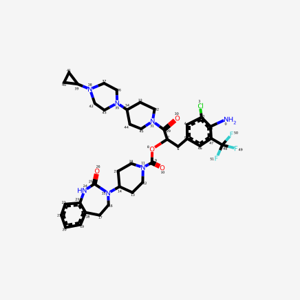 Nc1c(Cl)cc(CC(OC(=O)N2CCC(N3CCc4ccccc4NC3=O)CC2)C(=O)N2CCC(N3CCN(C4CC4)CC3)CC2)cc1C(F)(F)F